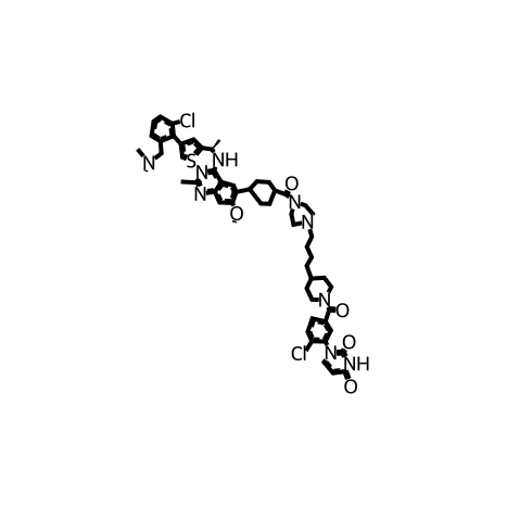 COc1cc2nc(C)nc(N[C@H](C)c3cc(-c4c(Cl)cccc4CN(C)C)cs3)c2cc1C1CCC(C(=O)N2CCN(CCCCC3CCN(C(=O)c4ccc(Cl)c(-n5ccc(=O)[nH]c5=O)c4)CC3)CC2)CC1